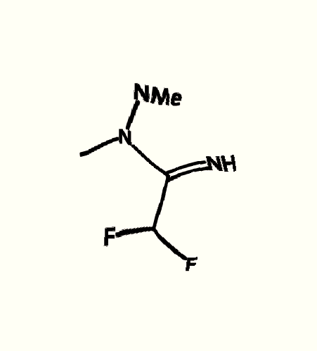 CNN(C)C(=N)C(F)F